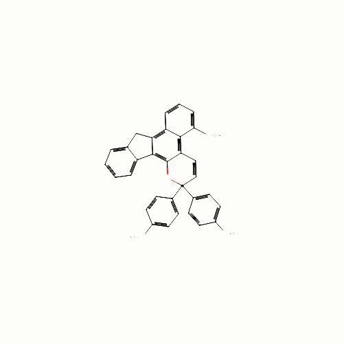 COc1ccc(C2(c3ccc(OC)cc3)C=Cc3c(c4c(c5cccc(OC)c35)Cc3ccccc3-4)O2)cc1